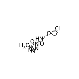 Cn1nnc2ncn(CC(=O)NCCCOc3cccc(Cl)c3)c(=O)c21